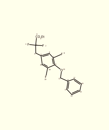 CCOC(=O)C(F)(F)Cc1cc(F)c(OCc2ccccc2)c(F)c1